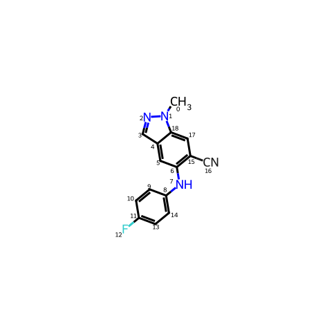 Cn1ncc2cc(Nc3ccc(F)cc3)c(C#N)cc21